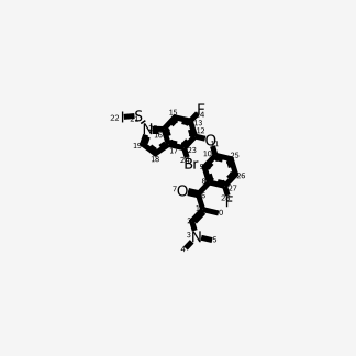 C/C(=C\N(C)C)C(=O)c1cc(Oc2c(F)cc3c(ccn3SI)c2Br)ccc1F